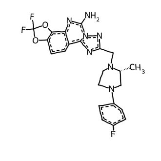 C[C@@H]1CN(c2ccc(F)cc2)CCN1Cc1nc2c3ccc4c(c3nc(N)n2n1)OC(F)(F)O4